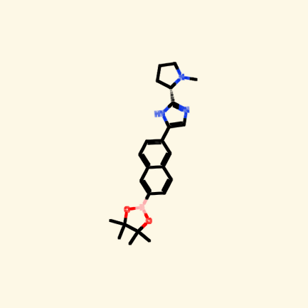 CN1CCC[C@H]1c1ncc(-c2ccc3cc(B4OC(C)(C)C(C)(C)O4)ccc3c2)[nH]1